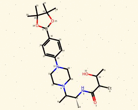 CCC(C(=O)N[C@H](C)C(C)N1CCN(c2ccc(B3OC(C)(C)C(C)(C)O3)cc2)CC1)C(C)O